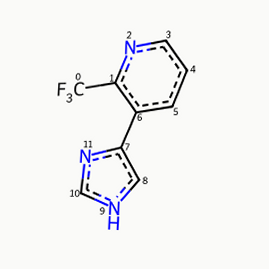 FC(F)(F)c1ncccc1-c1c[nH]cn1